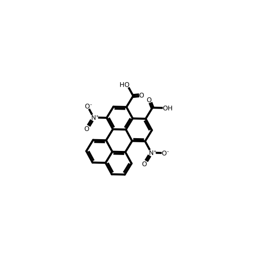 O=C(O)c1cc([N+](=O)[O-])c2c3cccc4cccc(c5c([N+](=O)[O-])cc(C(=O)O)c1c25)c43